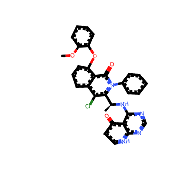 COc1ccccc1Oc1cccc2c(Cl)c([C@H](C)Nc3ncnc4[nH]ccc(=O)c34)n(-c3ccccc3)c(=O)c12